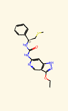 CCOc1n[nH]c2cc(NC(=O)N[C@H](CSC)c3ccccc3)ncc12